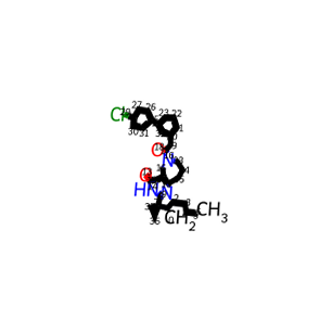 C=C(/C=C\C=C/C)C1(c2nc3c(c(=O)[nH]2)CN(C(=O)Cc2cccc(-c4ccc(Cl)cc4)c2)CCC3)CC1